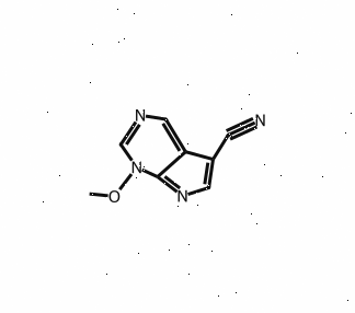 COn1cncc2c(C#N)cnc1-2